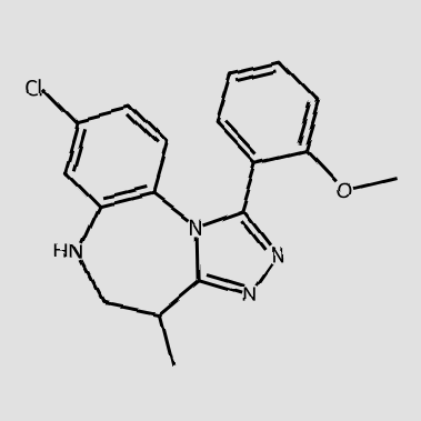 COc1ccccc1-c1nnc2n1-c1ccc(Cl)cc1NCC2C